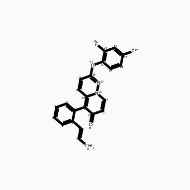 C/C=C/c1ccccc1-c1c(=O)ccn2nc(Oc3ccc(F)cc3F)ccc12